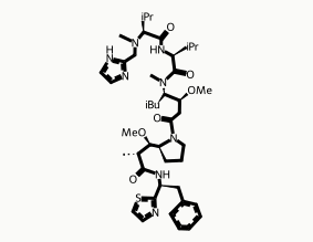 CC[C@H](C)[C@@H]([C@H](CC(=O)N1CCC[C@H]1[C@H](OC)[C@@H](C)C(=O)N[C@@H](Cc1ccccc1)c1nccs1)OC)N(C)C(=O)[C@@H](NC(=O)[C@H](C(C)C)N(C)Cc1ncc[nH]1)C(C)C